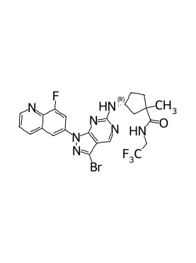 CC1(C(=O)NCC(F)(F)F)CC[C@@H](Nc2ncc3c(Br)nn(-c4cc(F)c5ncccc5c4)c3n2)C1